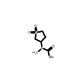 CN(C(=O)C(C)(C)C)C1CCS(=O)(=O)C1